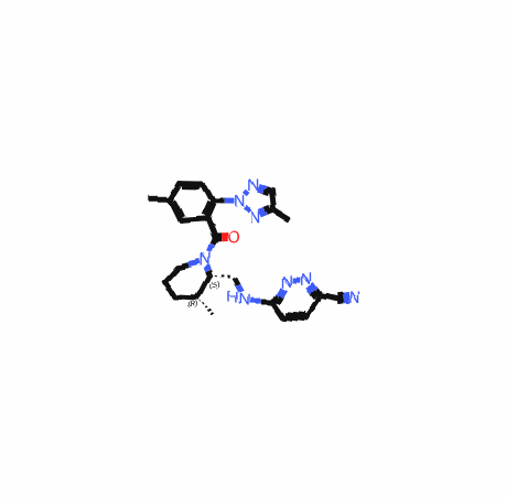 Cc1ccc(-n2ncc(C)n2)c(C(=O)N2CCC[C@@H](C)[C@H]2CNc2ccc(C#N)nn2)c1